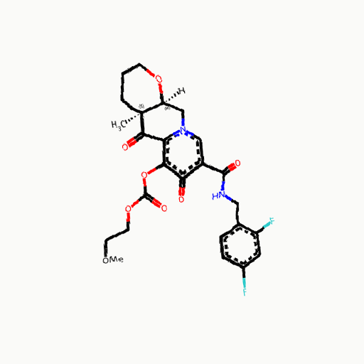 COCCOC(=O)Oc1c2n(cc(C(=O)NCc3ccc(F)cc3F)c1=O)C[C@@H]1OCCC[C@]1(C)C2=O